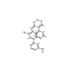 COc1cccc(-c2ccc(/C=C3/CCCN=C3c3cccnc3)c(F)c2)c1